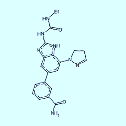 CCNC(=O)Nc1nc2cc(-c3cccc(C(N)=O)c3)cc(N3CCC=N3)c2[nH]1